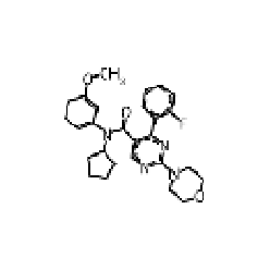 COC1=CC(N(C(=O)c2cnc(N3CCOCC3)nc2-c2ccccc2F)C2CCCC2)=CCC1